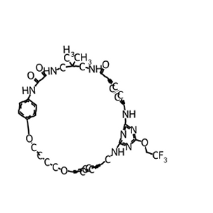 CC1(C)CNC(=O)C(=O)Nc2ccc(cc2)OCCCCOc2ccc(cc2)CNc2nc(nc(OCC(F)(F)F)n2)Nc2ccc(cc2)C(=O)NC1